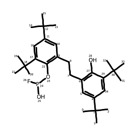 CC(C)(C)c1cc(CCc2cc(C(C)(C)C)cc(C(C)(C)C)c2OP(O)F)c(O)c(C(C)(C)C)c1